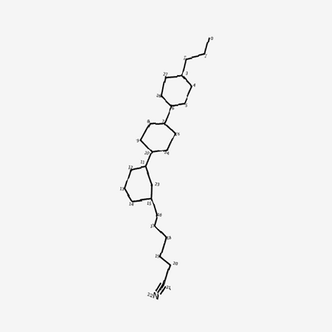 CCCC1CCC(C2CCC(C3CCCC(CCCCCC#N)C3)CC2)CC1